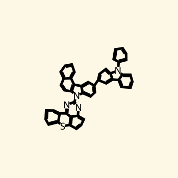 c1ccc(-n2c3ccccc3c3cc(-c4ccc5c(c4)c4c6ccccc6ccc4n5-c4nc5c6c(cccc6n4)Sc4ccccc4-5)ccc32)cc1